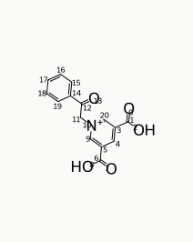 O=C(O)c1cc(C(=O)O)c[n+](CC(=O)c2ccccc2)c1